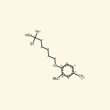 [2H]C([2H])(O)CCCCCOc1ccc(C)cc1C(C)(C)C